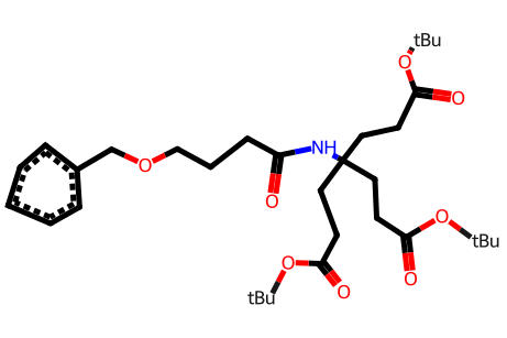 CC(C)(C)OC(=O)CCC(CCC(=O)OC(C)(C)C)(CCC(=O)OC(C)(C)C)NC(=O)CCCOCc1ccccc1